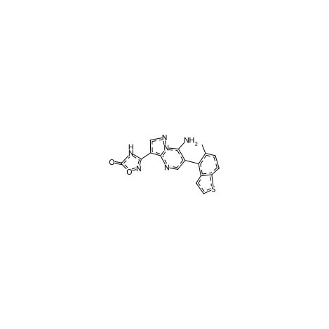 Cc1ccc2sccc2c1-c1cnc2c(-c3noc(=O)[nH]3)cnn2c1N